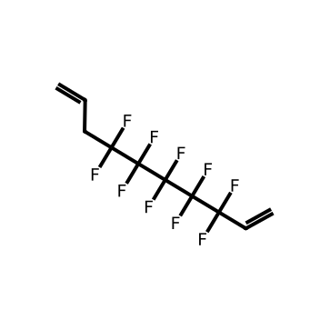 C=CCC(F)(F)C(F)(F)C(F)(F)C(F)(F)C(F)(F)C=C